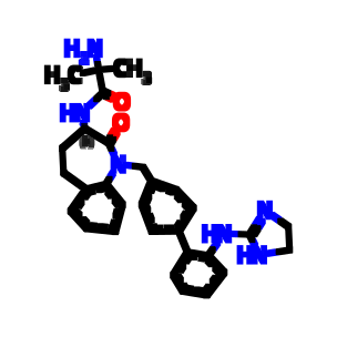 CC(C)(N)C(=O)N[C@@H]1CCc2ccccc2N(Cc2ccc(-c3ccccc3NC3=NCCN3)cc2)C1=O